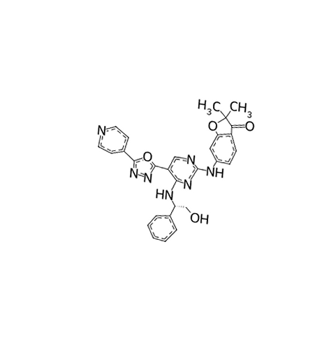 CC1(C)Oc2cc(Nc3ncc(-c4nnc(-c5ccncc5)o4)c(N[C@H](CO)c4ccccc4)n3)ccc2C1=O